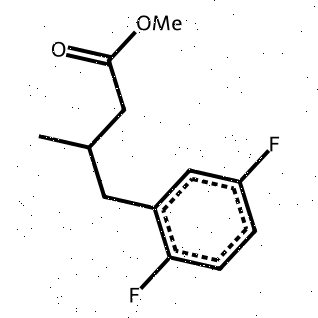 COC(=O)CC(C)Cc1cc(F)ccc1F